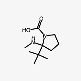 CNC1(C(C)(C)C)CCCN1C(=O)O